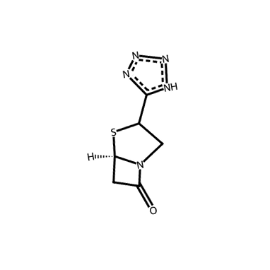 O=C1C[C@H]2SC(c3nnn[nH]3)CN12